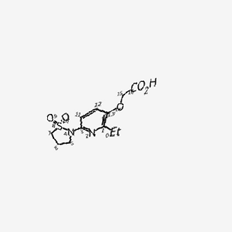 CCc1nc(N2CCCS2(=O)=O)ccc1OCC(=O)O